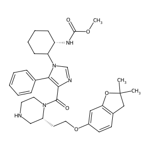 COC(=O)N[C@H]1CCCCC1n1cnc(C(=O)N2CCNC[C@H]2CCOc2ccc3c(c2)OC(C)(C)C3)c1-c1ccccc1